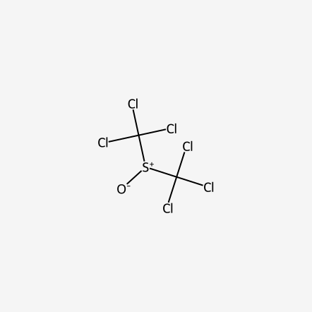 [O-][S+](C(Cl)(Cl)Cl)C(Cl)(Cl)Cl